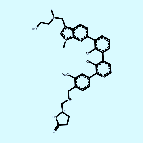 COc1cc(-c2nccc(-c3cccc(-c4ccc5c(CN(C)CCO)cn(C)c5n4)c3Cl)c2Cl)ccc1CNC[C@H]1CCC(=O)N1